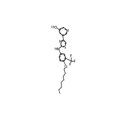 CCCCCCCCOc1ccc(Nc2nc(-c3cncc(O)c3)cs2)cc1C(F)(F)F